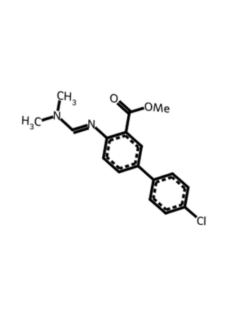 COC(=O)c1cc(-c2ccc(Cl)cc2)ccc1N=CN(C)C